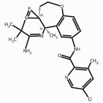 Cc1cc(Cl)cnc1C(=O)Nc1ccc2c(c1)[C@@]1(C)N=C(N)C(C)(C)S3=P[C@]31CCO2